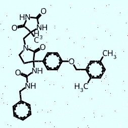 Cc1ccc(C)c(COc2ccc(C3(NC(=O)NCc4ccccc4)CCN(CC4(C)NC(=O)NC4=O)C3=O)cc2)c1